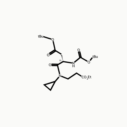 CCOC(=O)CCN(C(=O)[C@H](CC(=O)OC(C)(C)C)NC(=O)OC(C)(C)C)C1CC1